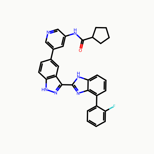 O=C(Nc1cncc(-c2ccc3[nH]nc(-c4nc5c(-c6ccccc6F)cccc5[nH]4)c3c2)c1)C1CCCC1